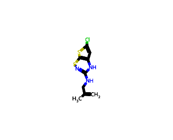 C=C(C)CNC1=NSc2sc(Cl)cc2N1